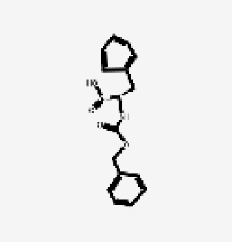 O=C(N[C@H](Cc1ccccc1)[PH](=O)O)OCc1ccccc1